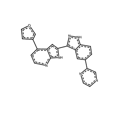 c1cnc(-c2ccc3[nH]nc(-c4cc5c(-c6ccoc6)ccnc5[nH]4)c3c2)cn1